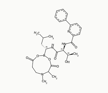 CC(C)C[C@H](NC(=O)[C@@H](NC(=O)c1cccc(-c2ccccc2)n1)[C@@H](C)O)B1OC(=O)CCN(C)C(C)C(=O)O1